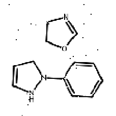 C1=CNN(c2ccccc2)C1.C1=NCCO1